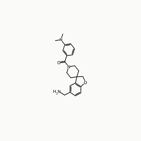 CN(C)c1cccc(C(=O)N2CCC3(CC2)COc2ccc(CN)cc23)c1